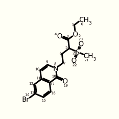 CCOC(=O)C(CCn1ccc2cc(Br)ccc2c1=O)S(C)(=O)=O